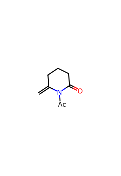 C=C1CCCC(=O)N1C(C)=O